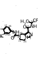 CC(NC(=O)c1ncn2c1CN(C(=O)Nc1cccc(C#N)c1)CC2)C(F)(F)F